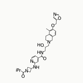 Cc1c(OCc2cnco2)ccc2c1CCN(C[C@@H](O)CNC(=O)c1ccnc(NC3CN(C(=O)C(C)C)C3)c1)C2